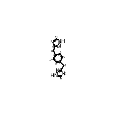 c1nc(Cc2ccc(Cc3nc[nH]n3)cc2)n[nH]1